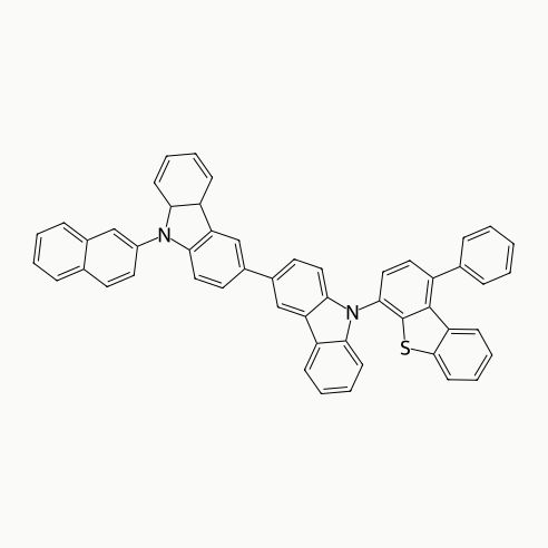 C1=CC2c3cc(-c4ccc5c(c4)c4ccccc4n5-c4ccc(-c5ccccc5)c5c4sc4ccccc45)ccc3N(c3ccc4ccccc4c3)C2C=C1